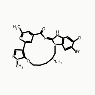 Cc1cc2cc(n1)-c1cnn(C)c1OCCC[C@@H](C)CN1/C(=N/C2=O)Nc2cc(Cl)c(C(C)C)cc21